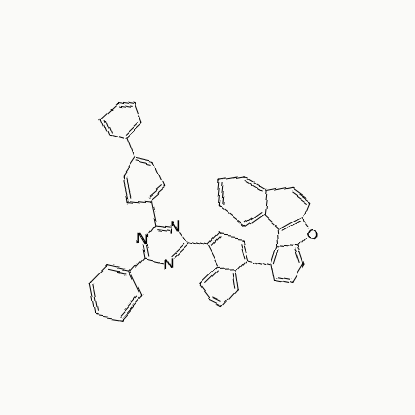 c1ccc(-c2ccc(-c3nc(-c4ccccc4)nc(-c4ccc(-c5cccc6oc7ccc8ccccc8c7c56)c5ccccc45)n3)cc2)cc1